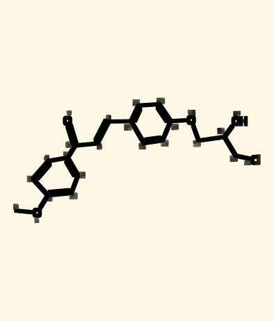 COc1ccc(C(=O)/C=C/c2ccc(OCC(O)CCl)cc2)cc1